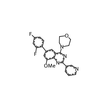 COc1cc(-c2ccc(F)cc2F)cc2c(N3CCOCC3)nc(-c3cccnc3)nc12